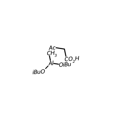 CC(=O)CC(=O)O.CC(C)C[O][Al]([CH3])[O]CC(C)C